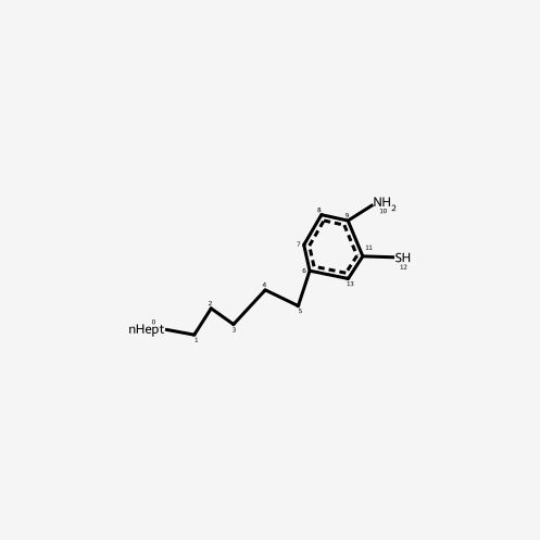 CCCCCCCCCCCCc1ccc(N)c(S)c1